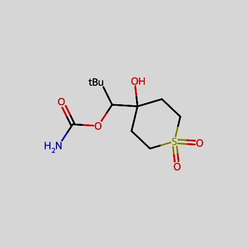 CC(C)(C)C(OC(N)=O)C1(O)CCS(=O)(=O)CC1